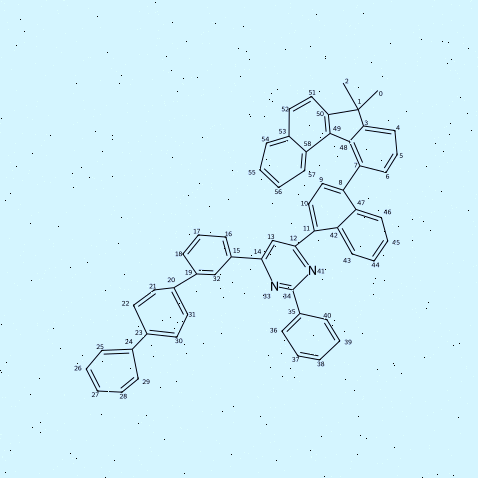 CC1(C)c2cccc(-c3ccc(-c4cc(-c5cccc(-c6ccc(-c7ccccc7)cc6)c5)nc(-c5ccccc5)n4)c4ccccc34)c2-c2c1ccc1ccccc21